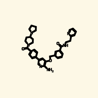 Nc1ncc(-c2ccc(C(=O)N3CCC(N4CCCC4)CC3)cc2)cc1OCc1cccc(C(=O)NCCc2ccccn2)c1